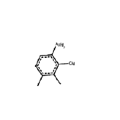 Cc1ccc([AsH2])c(C#N)c1C